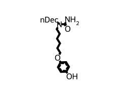 CCCCCCCCCCN(CCCCCCOc1ccc(O)cc1)C(N)=O